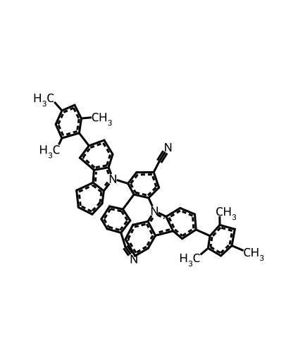 Cc1cc(C)c(-c2ccc3c(c2)c2ccccc2n3-c2cc(C#N)cc(-n3c4ccccc4c4cc(-c5c(C)cc(C)cc5C)ccc43)c2-c2cccc(C#N)c2)c(C)c1